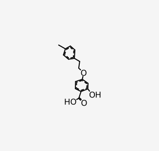 Cc1ccc(CCOc2ccc(C(=O)O)c(O)c2)cc1